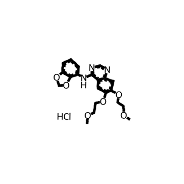 COCCOc1cc2ncnc(Nc3cccc4c3OCO4)c2cc1OCCOC.Cl